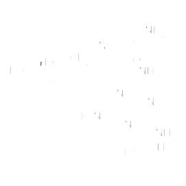 C=C.C=C.C=C.NC(=O)CN1CC1.Nc1nc(N)nc(N)n1